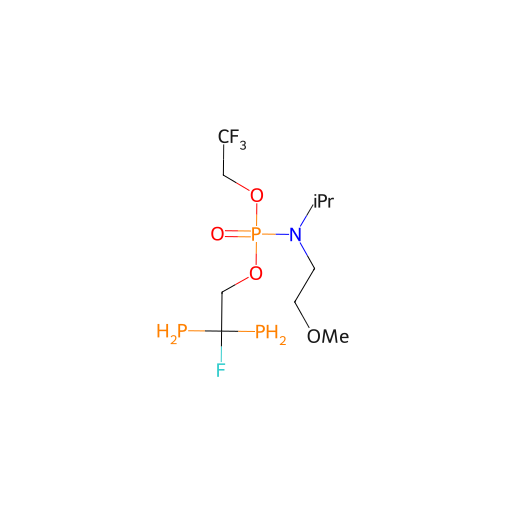 COCCN(C(C)C)P(=O)(OCC(F)(F)F)OCC(F)(P)P